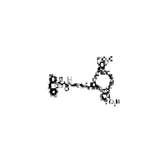 O=C(CCC(=O)N1Cc2ccccc2C#Cc2ccccc21)NCCOCCSCC1CC2OCCN(Cc3cccc(C(=O)O)n3)CCOCCOCCN(Cc3cccc(C(=O)O)n3)CCOC2C1